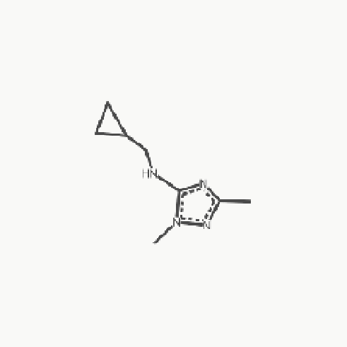 Cc1nc(NCC2CC2)n(C)n1